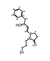 [2H]CCCN1C(=O)CC[C@@H]1/C=C/C(O)Cc1ccccc1